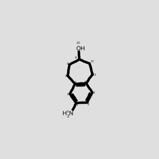 Nc1ccc2c(c1)CCC(O)CC2